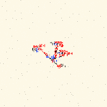 COP(=O)(O)OCCCCCCNC(=O)[C@H](CCCCNC(=O)COCCOCCOCCOC1OC(CO)C(O)C(O)C1NC(C)=O)NC(=O)[C@H](CCCCNC(=O)CC(COCCOCCO)OC1OC(CO)C(O)C(O)C1NC(C)=O)NC(=O)COCCOCCOCCOC1OC(CO)C(O)C(O)C1NC(C)=O